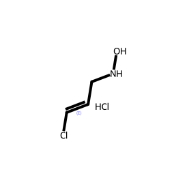 Cl.ONC/C=C/Cl